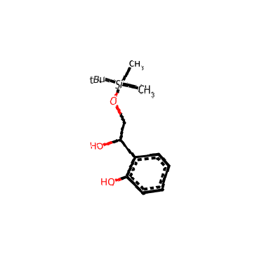 CC(C)(C)[Si](C)(C)OCC(O)c1ccccc1O